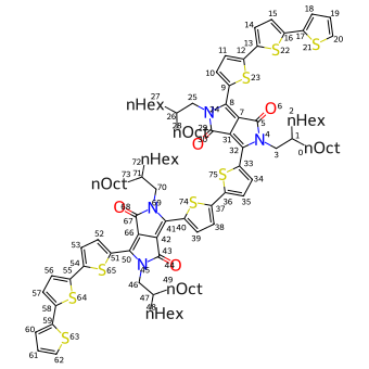 CCCCCCCCC(CCCCCC)CN1C(=O)C2=C(c3ccc(-c4ccc(-c5cccs5)s4)s3)N(CC(CCCCCC)CCCCCCCC)C(=O)C2=C1c1ccc(-c2ccc(C3=C4C(=O)N(CC(CCCCCC)CCCCCCCC)C(c5ccc(-c6ccc(-c7cccs7)s6)s5)=C4C(=O)N3CC(CCCCCC)CCCCCCCC)s2)s1